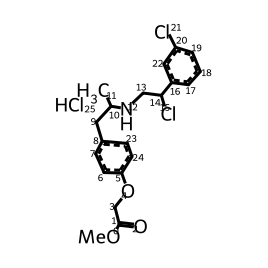 COC(=O)COc1ccc(CC(C)NCC(Cl)c2cccc(Cl)c2)cc1.Cl